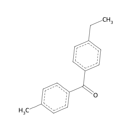 CCc1ccc(C(=O)c2ccc(C)cc2)cc1